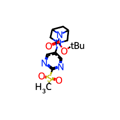 CC(C)(C)OC(=O)N1C2CC1CN(c1cnc(S(C)(=O)=O)nc1)C2